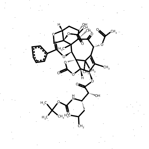 CC(=O)O[C@H]1C(=O)[C@]2(C)[C@@H](O)C[C@H]3OC[C@@]3(OC(C)=O)C2(C)[C@H](OC(=O)c2ccccc2)[C@]23OC(=O)O[C@H]2[C@H](OC(=O)[C@H](O)[C@H](CC(C)C)NC(=O)OC(C)(C)C)C(C)=C1C3(C)C